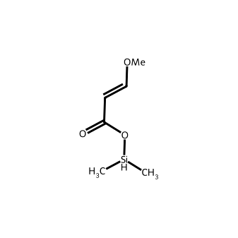 COC=CC(=O)O[SiH](C)C